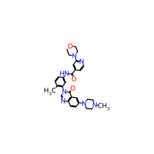 Cc1ccc(NC(=O)c2ccnc(N3CCOCC3)c2)cc1-n1cnc2ccc(N3CCN(C)CC3)cc2c1=O